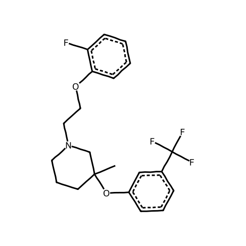 CC1(Oc2cccc(C(F)(F)F)c2)CCCN(CCOc2ccccc2F)C1